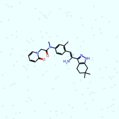 CN(C(=O)Cn1ccccc1=O)c1ccc(/C=C(\N)c2n[nH]c3c2CCC(C)(C)C3)c(I)c1